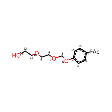 CC(=O)c1ccc(OCOCCOCCO)cc1